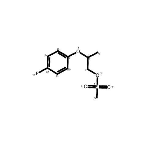 CC(COS(C)(=O)=O)Oc1ccc(F)cc1